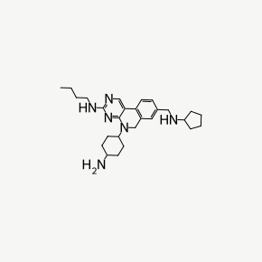 CCCCNc1ncc2c(n1)N(C1CCC(N)CC1)Cc1cc(CNC3CCCC3)ccc1-2